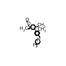 C=C[C@]1(COC=O)CC[C@@H](C(=C)C)[C@H](c2ccc(CN3CCC(F)(F)CC3)cc2)C1